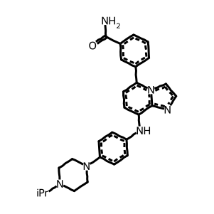 CC(C)N1CCN(c2ccc(Nc3ccc(-c4cccc(C(N)=O)c4)n4ccnc34)cc2)CC1